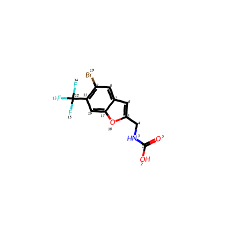 O=C(O)NCc1cc2cc(Br)c(C(F)(F)F)cc2o1